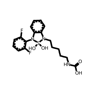 O=C(O)NCCCCCN1c2ccccc2N(c2c(F)cccc2F)S1(O)O